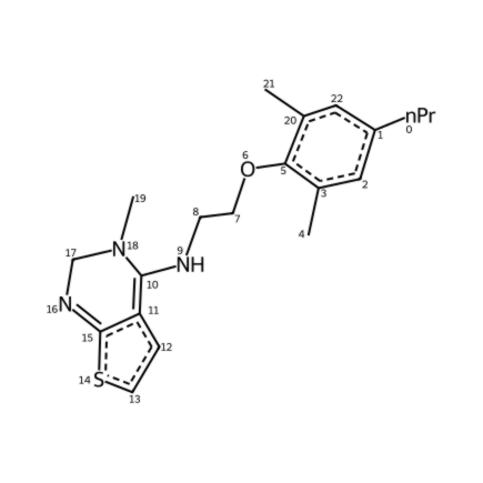 CCCc1cc(C)c(OCCNC2=c3ccsc3=NCN2C)c(C)c1